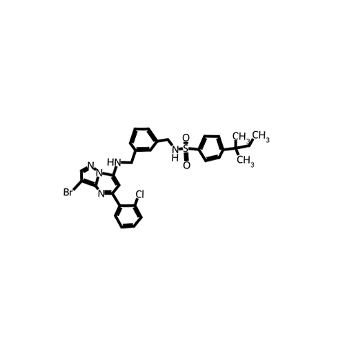 CCC(C)(C)c1ccc(S(=O)(=O)NCc2cccc(CNc3cc(-c4ccccc4Cl)nc4c(Br)cnn34)c2)cc1